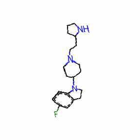 Fc1ccc2c(c1)CCN2C1CCN(CCC2CCCN2)CC1